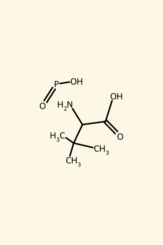 CC(C)(C)C(N)C(=O)O.O=PO